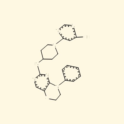 Cc1cc(N2CCC(Nc3ncc4c(n3)N(c3ccccc3)CCO4)CC2)ncn1